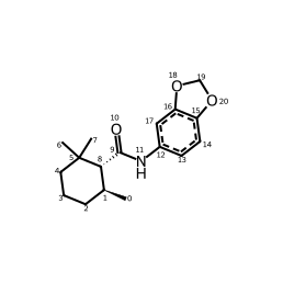 C[C@H]1CCCC(C)(C)[C@@H]1C(=O)Nc1ccc2c(c1)OCO2